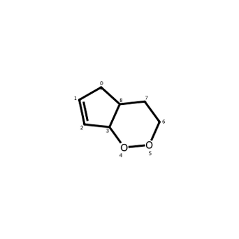 [CH]1C=CC2OOCCC12